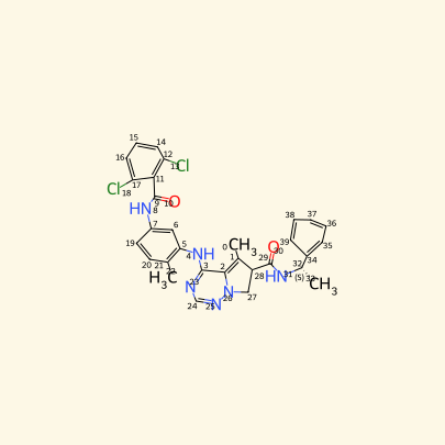 CC1=C2C(Nc3cc(NC(=O)c4c(Cl)cccc4Cl)ccc3C)=NC=NN2CC1C(=O)N[C@@H](C)c1ccccc1